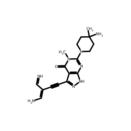 Cn1c(N2CCC(C)(N)CC2)nc2[nH]nc(C#C/C(C=N)=C/N)c2c1=O